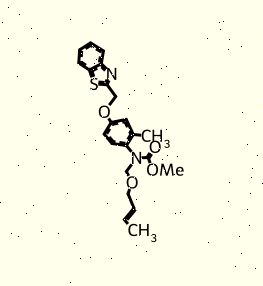 CC=CCOCN(C(=O)OC)c1ccc(OCc2nc3ccccc3s2)cc1C